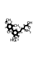 COc1cc(C)c(-c2cc(C)c(F)c(CC[C@H](N)CC(=O)O)c2)c(C)c1.Cl